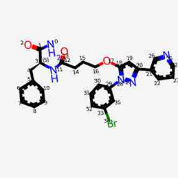 NC(=O)[C@H](Cc1ccccc1)NC(=O)CCCOc1cc(-c2cccnc2)nn1-c1cccc(Br)c1